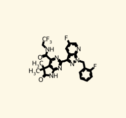 CC1(C)C(=O)Nc2nc(-c3nn(Cc4ccccc4F)c4ncc(F)cc34)nc(C(=O)NCC(F)(F)F)c21